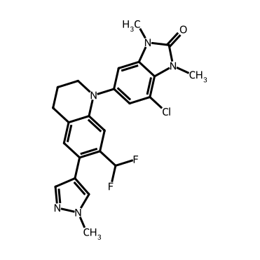 Cn1cc(-c2cc3c(cc2C(F)F)N(c2cc(Cl)c4c(c2)n(C)c(=O)n4C)CCC3)cn1